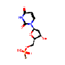 O=c1ccn([C@H]2C[C@H](O)[C@@H](COP(=O)(O)Br)O2)c(=O)[nH]1